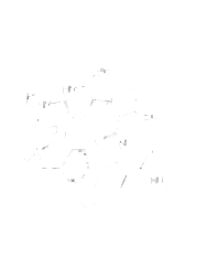 CC(C)CC(C)(CS(=O)(=O)Cc1ccccc1)NC(=O)N[C@H](C(=O)N1CCC(C(C)(C)C)C1C(=O)NC(CC1CCC1)C(=O)C(N)=O)C(C)(C)C